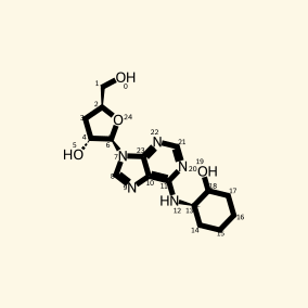 OC[C@@H]1C[C@@H](O)[C@H](n2cnc3c(N[C@@H]4CCCCC4O)ncnc32)O1